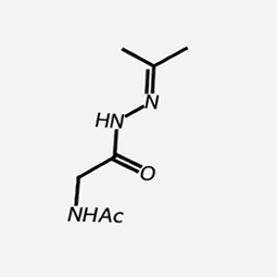 CC(=O)NCC(=O)NN=C(C)C